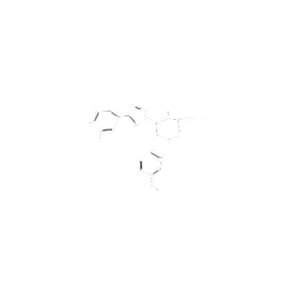 CC(=O)OCC1O[C@H](Sc2cccc(C#N)c2)C(C)[C@@H](n2cc(-c3cc(F)c(F)c(F)c3)nn2)[C@H]1OC(C)=O